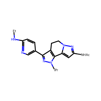 CCNc1ccc(-c2nn(C(C)C)c3c2CCn2nc(NC(C)=O)cc2-3)cn1